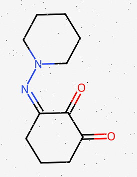 O=C1CCCC(=NN2CCCCC2)C1=O